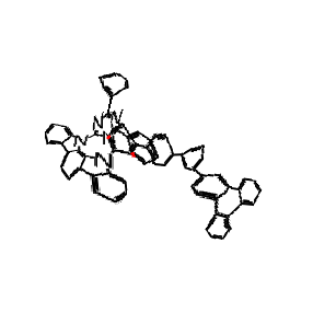 c1ccc(-c2nc(-c3ccccc3)nc(-n3c4ccccc4c4ccc5c6ccccc6n(-c6cccc(-c7ccc(-c8cccc(-c9ccc%10c%11ccccc%11c%11ccccc%11c%10c9)c8)cc7)c6)c5c43)n2)cc1